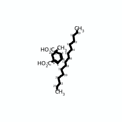 CC1(C(=O)O)C=CC=C(C(=O)O)C1.CCCCCCCCCCCCCCCC